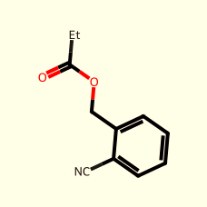 CCC(=O)OCc1ccccc1C#N